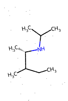 CCC(C)[C@H](C)NC(C)C